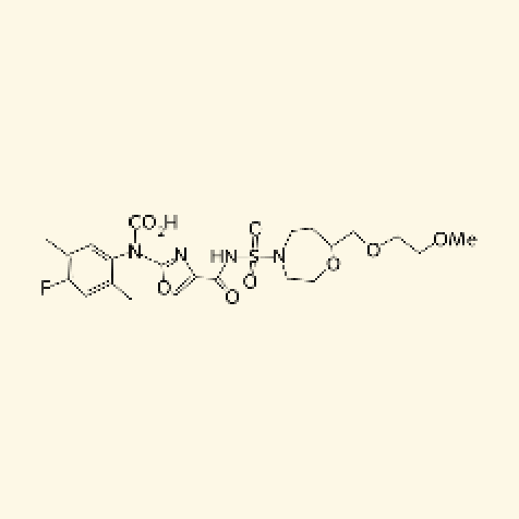 COCCOCC1CCN(S(=O)(=O)NC(=O)c2coc(N(C(=O)O)c3cc(C)c(F)cc3C)n2)CCO1